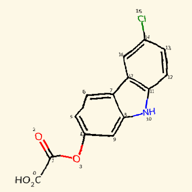 O=C(O)C(=O)Oc1ccc2c(c1)[nH]c1ccc(Cl)cc12